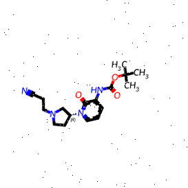 CC(C)(C)OC(=O)Nc1cccn([C@@H]2CCN(CCC#N)C2)c1=O